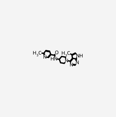 Cc1ccc(C(=O)NC2CCN(c3ncnc4[nH]cc(C)c34)CC2)cn1